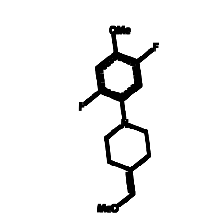 COC=C1CCN(c2cc(F)c(OC)cc2F)CC1